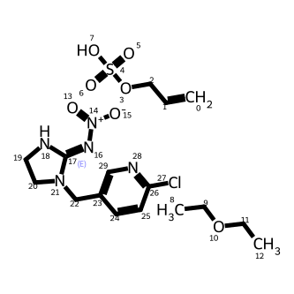 C=CCOS(=O)(=O)O.CCOCC.O=[N+]([O-])/N=C1\NCCN1Cc1ccc(Cl)nc1